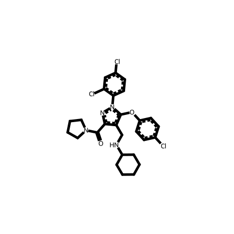 O=C(c1nn(-c2ccc(Cl)cc2Cl)c(Oc2ccc(Cl)cc2)c1CNC1CCCCC1)N1CCCC1